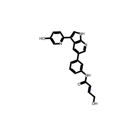 O=C(/C=C/CO)Nc1cccc(-c2cnc3[nH]cc(-c4ccc(O)cn4)c3c2)c1